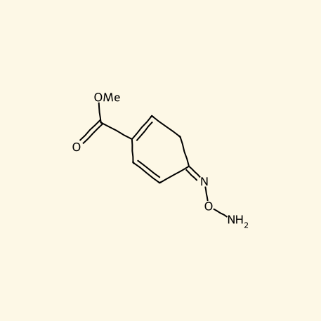 COC(=O)C1=CCC(=NON)C=C1